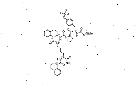 CN[C@@H](C)C(=O)N[C@@H](Cc1ccc(OS(=O)(=O)F)cc1)C(=O)N1CCC[C@H]1C(=O)N[C@@H]1CCc2ccccc2[C@@H]1C(=O)NCCCC[C@H](NC(=O)[C@@H]1CCCc2ccccc21)C(N)=O